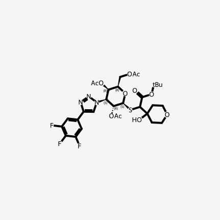 CC(=O)OC[C@H]1O[C@@H](SC(C(=O)OC(C)(C)C)C2(O)CCOCC2)[C@H](OC(C)=O)[C@@H](n2cc(-c3cc(F)c(F)c(F)c3)nn2)[C@H]1OC(C)=O